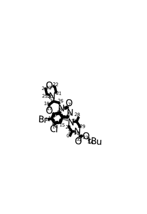 CC1CN(c2nc(=O)n3c4c(c(Br)c(Cl)cc24)OC[C@H](N2CCOCC2)C3)C(C)CN1C(=O)OC(C)(C)C